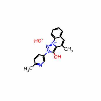 Cc1ccc(-n2n[n+]3c(c(C)cc4ccccc43)c2O)cn1.[OH-]